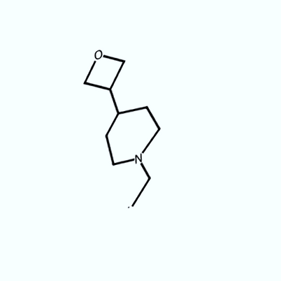 [CH2]CN1CCC(C2COC2)CC1